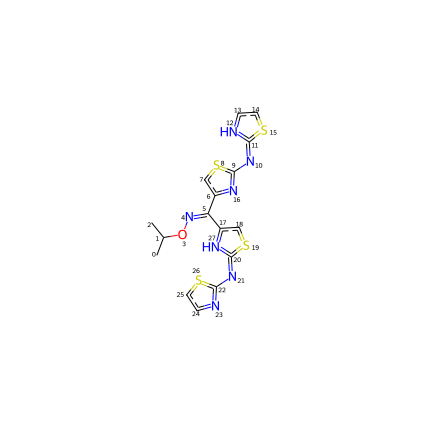 CC(C)O/N=C(/c1csc(/N=c2\[nH]ccs2)n1)c1cs/c(=N/c2nccs2)[nH]1